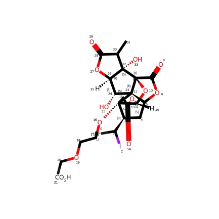 CCCC(I)[C@@H]1CC2OC(=O)[C@]34O[C@H]5OC(=O)[C@@H](OCCOCC(=O)O)C51[C@@]23[C@H](O)[C@H]1OC(=O)C(C)[C@]14O